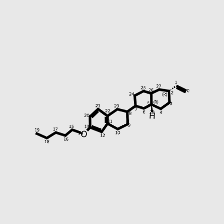 C=C[C@@H]1CC[C@@H]2CC(C3CCc4cc(OCCCCC)ccc4C3)CCC2C1